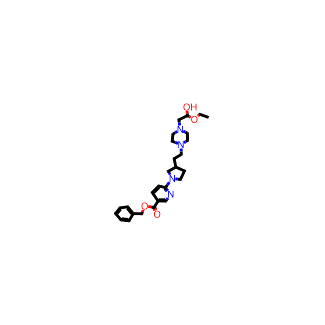 CCOC(O)CN1CCN(CCC2CCN(c3ccc(C(=O)OCc4ccccc4)cn3)C2)CC1